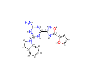 Nc1nc(-c2noc(-c3ccco3)n2)nc(N2CCc3ccccc32)n1